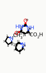 CN1CCC[C@H]1c1cccnc1.O=C(O)c1cc(=O)[nH]c(=O)[nH]1